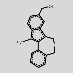 CCc1ccc2c(c1)c1c(n2C)-c2ccccc2CCC1